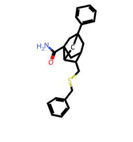 NC(=O)C12CC3CC(c4ccccc4)(CC1C3CSCc1ccccc1)C2